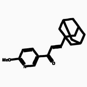 COc1ccc(C(=O)/C=C/C23CC4CC(CC(C4)C2)C3)cn1